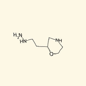 NNCCC1CNCCO1